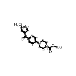 Cn1cc(C(=O)c2ccc(N3CCN(C(=O)OC(C)(C)C)CC3)cn2)cn1